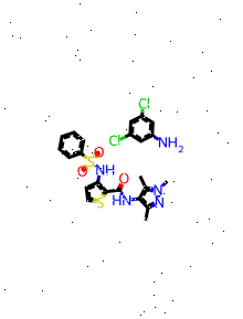 Cc1nn(C)c(C)c1NC(=O)c1sccc1NS(=O)(=O)c1ccccc1.Nc1cc(Cl)cc(Cl)c1